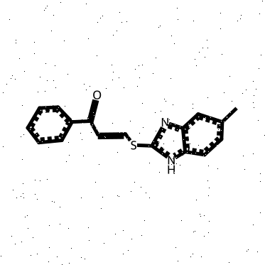 Cc1ccc2[nH]c(SC=CC(=O)c3ccccc3)nc2c1